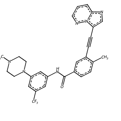 Cc1ccc(C(=O)Nc2cc(N3CCN(C)CC3)cc(C(F)(F)F)c2)cc1C#Cc1cnc2cccnn12